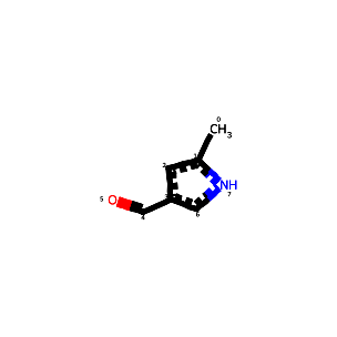 Cc1cc([C]=O)c[nH]1